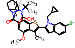 COc1cc(C(=O)N2CC3CCC2[C@@H]3N(C(=O)O)C(C)(C)C)cc2sc(-c3cc4ccc(Br)cc4n3CC3CC3)c(C)c12